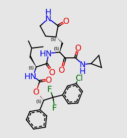 CC(C)C[C@H](NC(=O)O[C@@H](c1ccccc1)C(F)(F)c1cccc(Cl)c1)C(=O)N[C@@H](C[C@@H]1CCNC1=O)C(=O)C(=O)NC1CC1